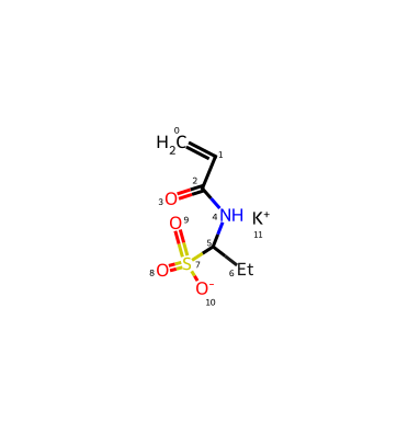 C=CC(=O)NC(CC)S(=O)(=O)[O-].[K+]